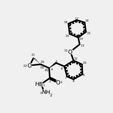 NBC(=O)[C@H](Cc1ccccc1OCc1ccccc1)[C@H]1CO1